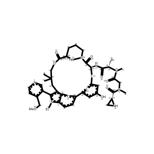 CCn1c(-c2cnccc2COC)c2c3cc(ccc31)-c1cc(O)cc(c1)C[C@H](NC(=O)[C@H](C(C)C)N(C)C(=O)CN(C)C(=O)[C@H]1CN1)C(=O)N1CCC[C@H](N1)C(=O)OCC(C)(C)C2